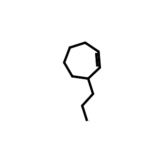 [CH2]CCC1C=CCCCC1